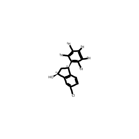 [2H]c1c([2H])c([2H])c([C@@H]2C[C@H](O)c3cc(Cl)ccc32)c([2H])c1[2H]